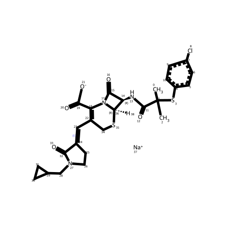 CC(C)(Sc1ccc(Cl)cc1)C(=O)N[C@@H]1C(=O)N2C(C(=O)[O-])=C(/C=C3\CCN(CC4CC4)C3=O)CS[C@H]12.[Na+]